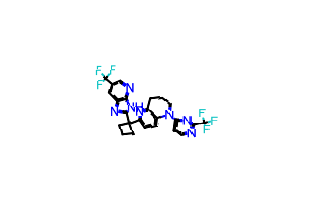 FC(F)(F)c1cnc2[nH]c(C3(c4ccc5c(n4)CCCN5c4ccnc(C(F)(F)F)n4)CCC3)nc2c1